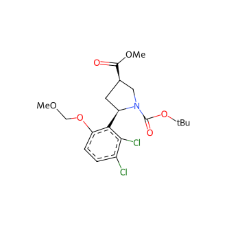 COCOc1ccc(Cl)c(Cl)c1[C@H]1C[C@@H](C(=O)OC)CN1C(=O)OC(C)(C)C